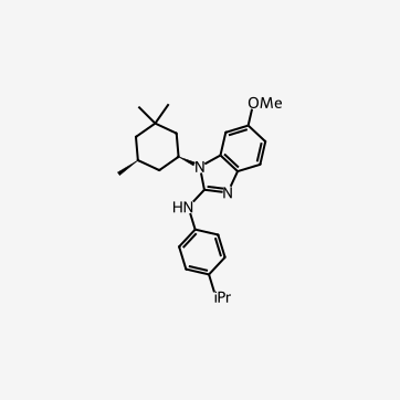 COc1ccc2nc(Nc3ccc(C(C)C)cc3)n([C@H]3C[C@@H](C)CC(C)(C)C3)c2c1